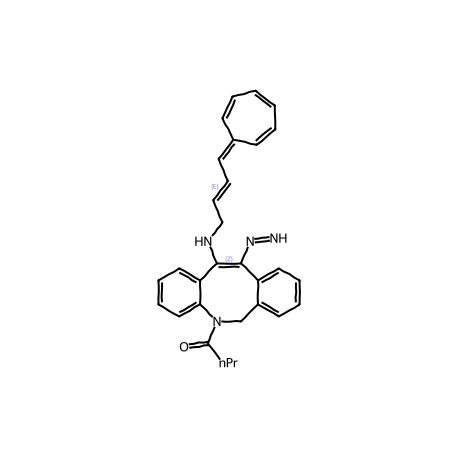 CCCC(=O)N1Cc2ccccc2/C(N=N)=C(/NC/C=C/C=C2C=CC=CC=C2)c2ccccc21